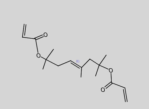 C=CC(=O)OC(C)(C)C/C=C(\C)CC(C)(C)OC(=O)C=C